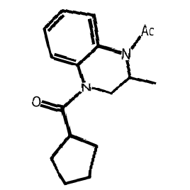 CC(=O)N1c2ccccc2N(C(=O)C2CCCC2)CC1C